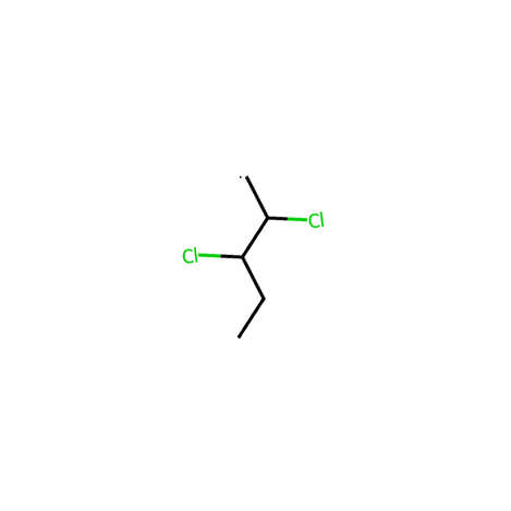 [CH2]C(Cl)C(Cl)CC